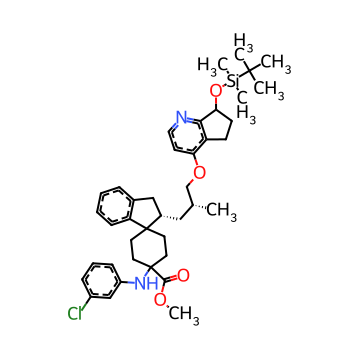 COC(=O)C1(Nc2cccc(Cl)c2)CCC2(CC1)c1ccccc1C[C@@H]2C[C@@H](C)COc1ccnc2c1CCC2O[Si](C)(C)C(C)(C)C